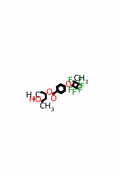 CCC(CC(C)O)OC(=O)c1ccc(OC2(F)C(C)(F)C(F)(F)C2(F)F)cc1